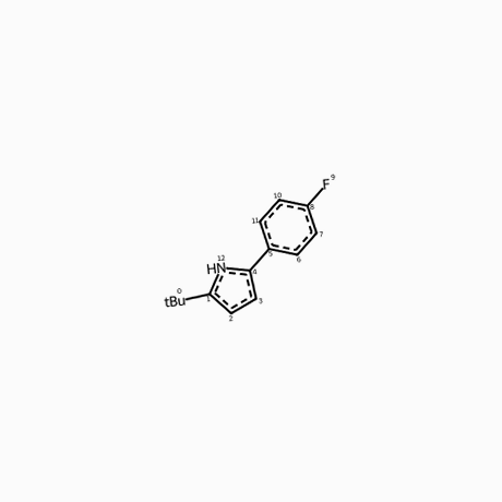 CC(C)(C)c1ccc(-c2ccc(F)cc2)[nH]1